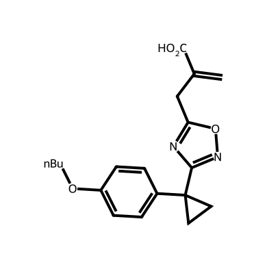 C=C(Cc1nc(C2(c3ccc(OCCCC)cc3)CC2)no1)C(=O)O